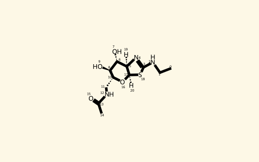 CCNC1=N[C@@H]2[C@@H](O)[C@H](O)[C@@H](CNC(C)=O)O[C@@H]2S1